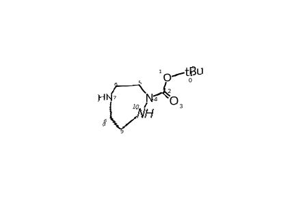 CC(C)(C)OC(=O)N1CCNCCN1